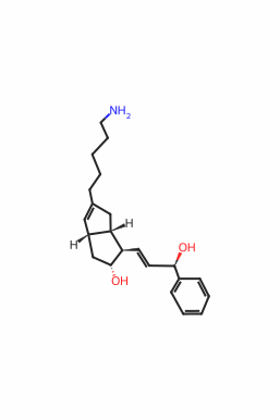 NCCCCCC1=C[C@H]2C[C@@H](O)[C@H](/C=C/[C@@H](O)c3ccccc3)[C@H]2C1